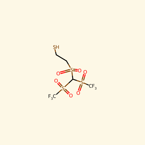 O=S(=O)(CCS)C(S(=O)(=O)C(F)(F)F)S(=O)(=O)C(F)(F)F